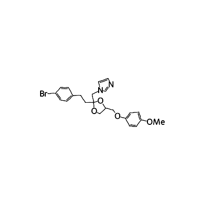 COc1ccc(OCC2COC(CCc3ccc(Br)cc3)(Cn3ccnc3)O2)cc1